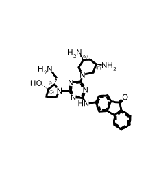 NC[C@H]1[C@@H](O)CCN1c1nc(Nc2ccc3c(c2)-c2ccccc2C3=O)nc(N2C[C@H](N)C[C@H](N)C2)n1